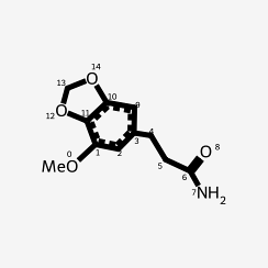 COc1cc(CCC(N)=O)cc2c1OCO2